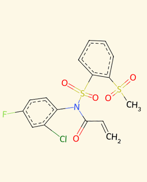 C=CC(=O)N(c1ccc(F)cc1Cl)S(=O)(=O)c1ccccc1S(C)(=O)=O